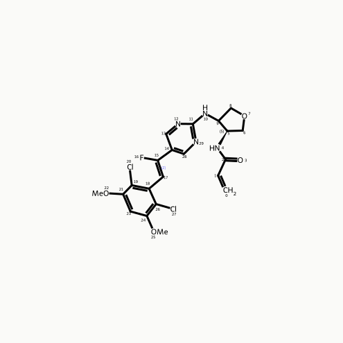 C=CC(=O)N[C@@H]1COCC1Nc1ncc(/C(F)=C/c2c(Cl)c(OC)cc(OC)c2Cl)cn1